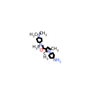 Cc1cc(C(=O)CN(C)C2CCC(N(C)C)CC2)c(C)n1-c1ccc(N)cc1